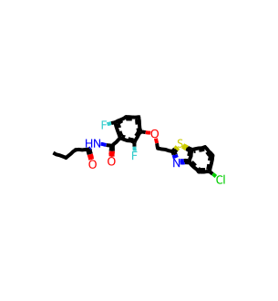 CCCC(=O)NC(=O)c1c(F)ccc(OCc2nc3cc(Cl)ccc3s2)c1F